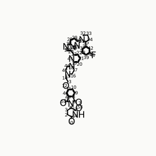 O=C1CCC(N2C(=O)c3ccc(OCCN4CCN(c5cccc(-c6cnc7ccc(N8CCCC8c8cccc(F)c8)nn67)n5)CC4)cc3C2=O)C(=O)N1